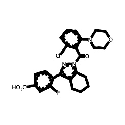 O=C(O)c1ccc(-c2nn(C(=O)c3c(Cl)cccc3N3CCOCC3)c3c2CCCC3)c(F)c1